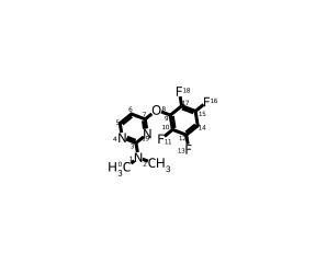 CN(C)c1nccc(Oc2c(F)c(F)cc(F)c2F)n1